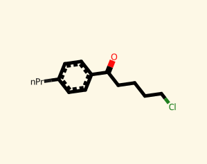 CCCc1ccc(C(=O)CCCCCl)cc1